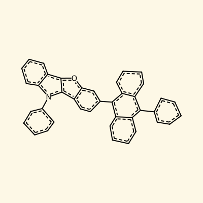 c1ccc(-c2c3ccccc3c(-c3ccc4c(c3)oc3c5ccccc5n(-c5ccccc5)c43)c3ccccc23)cc1